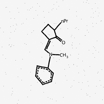 CCCC1CC/C(=C/N(C)c2ccccc2)C1=O